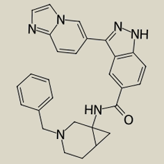 O=C(NC12CC1CCN(Cc1ccccc1)C2)c1ccc2[nH]nc(-c3ccc4nccn4c3)c2c1